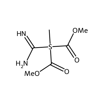 COC(=O)S(C)(C(=N)N)C(=O)OC